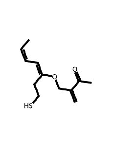 C=C(CO/C(=C/C=C\C)CCS)C(C)=O